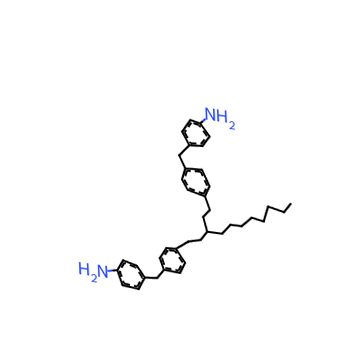 CCCCCCCCC(CCc1ccc(Cc2ccc(N)cc2)cc1)CCc1ccc(Cc2ccc(N)cc2)cc1